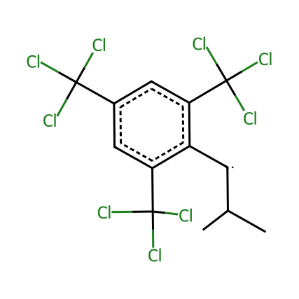 CC(C)[CH]c1c(C(Cl)(Cl)Cl)cc(C(Cl)(Cl)Cl)cc1C(Cl)(Cl)Cl